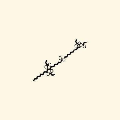 CCCCCCCCC(OC(=O)CC)C(CCCCCCCC(=O)OCCCCCCCCC(COC(=O)CC)OC(=O)CC)OC(=O)CC